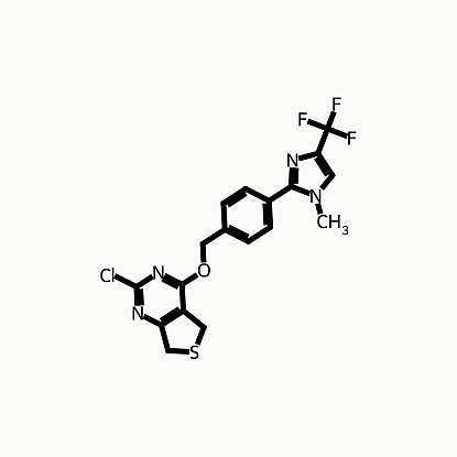 Cn1cc(C(F)(F)F)nc1-c1ccc(COc2nc(Cl)nc3c2CSC3)cc1